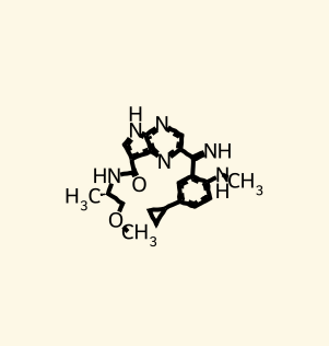 CNc1ccc(C2CC2)cc1C(=N)c1cnc2[nH]cc(C(=O)N[C@@H](C)COC)c2n1